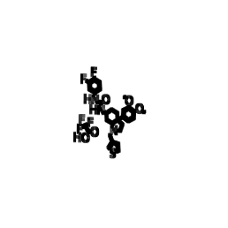 COc1ccc(C23CCC(NC(=O)Nc4ccc(F)c(F)c4)CC2N(Cc2ccsc2)CC3)cc1OC.O=C(O)C(F)(F)F